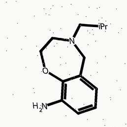 CC(C)CN1CCOc2c(N)cccc2C1